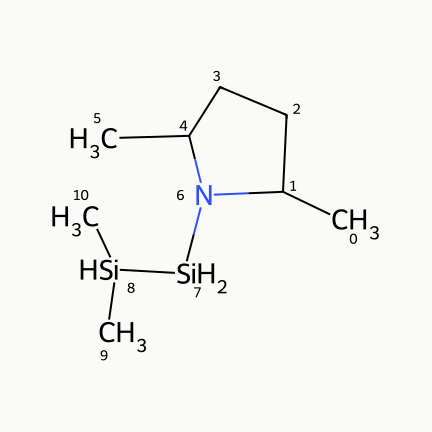 CC1CCC(C)N1[SiH2][SiH](C)C